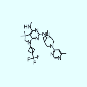 CNc1nc(NC2C3CC(C)C2CN(c2cc(C)ncn2)C3)nc2c1C(C)(C)CN2C12CC(C(F)(F)F)(C1)C2